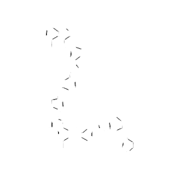 Cc1cc(Nc2cccc(C(=O)Nc3cc(Nc4ccncc4)ccn3)c2)c2cc(-[n+]3ccc(Oc4cccc(NC(=O)c5cccc(Nc6ccnc7cccc(C)c67)c5)c4)cc3)ccc2n1